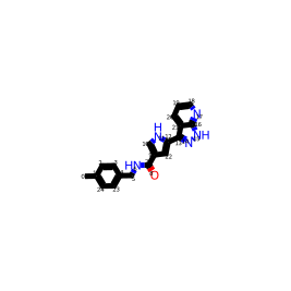 Cc1ccc(CNC(=O)c2c[nH]c(-c3n[nH]c4ncccc34)c2)cc1